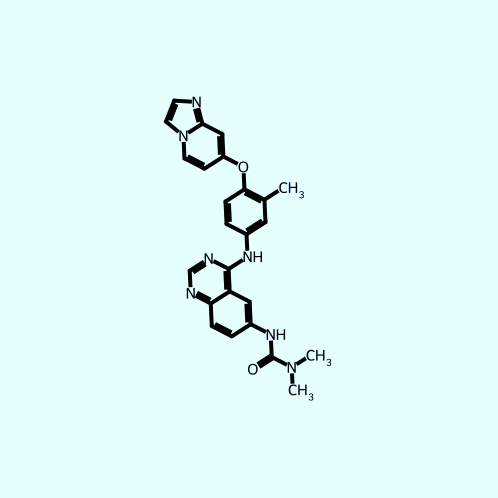 Cc1cc(Nc2ncnc3ccc(NC(=O)N(C)C)cc23)ccc1Oc1ccn2ccnc2c1